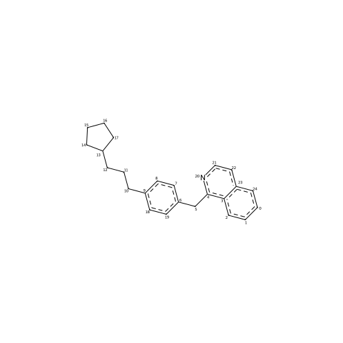 c1ccc2c(Cc3ccc(CCCC4CCCC4)cc3)nccc2c1